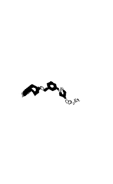 CCOC(=O)c1cnn(-c2cccc(COc3ccccc3)c2)c1